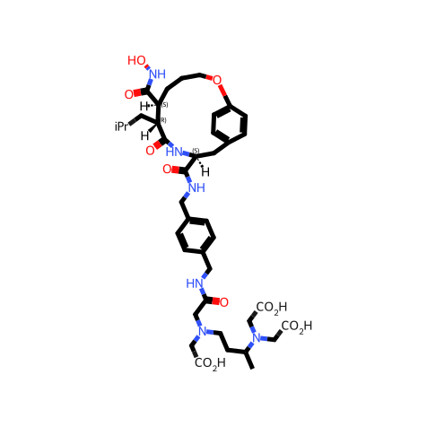 C[C](CCN(CC(=O)O)CC(=O)NCc1ccc(CNC(=O)[C@@H]2Cc3ccc(cc3)OCCC[C@H](C(=O)NO)[C@@H](CC(C)C)C(=O)N2)cc1)N(CC(=O)O)CC(=O)O